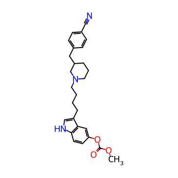 COC(=O)Oc1ccc2[nH]cc(CCCCN3CCCC(Cc4ccc(C#N)cc4)C3)c2c1